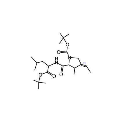 C/C=C1/CN(C(=O)OC(C)(C)C)C(C(=O)NC(CC(C)C)C(=O)OC(C)(C)C)C1C